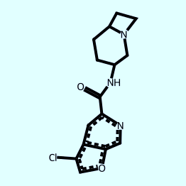 O=C(NC1CCC2CCN2C1)c1cc2c(Cl)coc2cn1